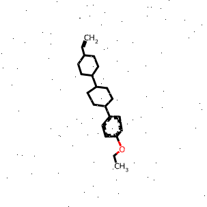 C=CC1CCC(C2CCC(c3ccc(OCC)cc3)CC2)CC1